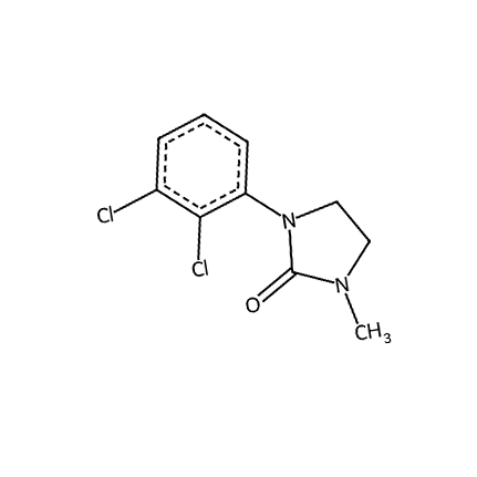 CN1CCN(c2cccc(Cl)c2Cl)C1=O